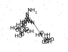 NCCCN1CCN(c2nc(Nc3ccc(CC4CN(CC(=O)O)CCN(CC(=O)O)CCN(CC(=O)O)CCN4CC(=O)O)cc3)nc(N3CCN(CCCCCCCCCCC(=O)NCCCCC(NC(=O)NCC=O)C(=O)O)CC3)n2)CC1